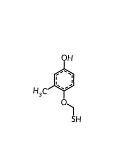 Cc1cc(O)ccc1OCS